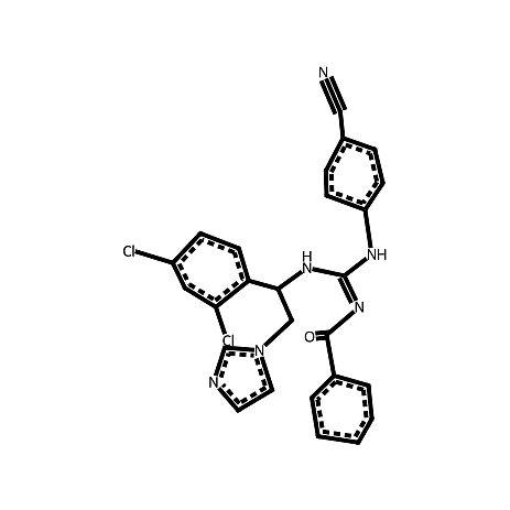 N#Cc1ccc(N/C(=N/C(=O)c2ccccc2)NC(Cn2ccnc2)c2ccc(Cl)cc2Cl)cc1